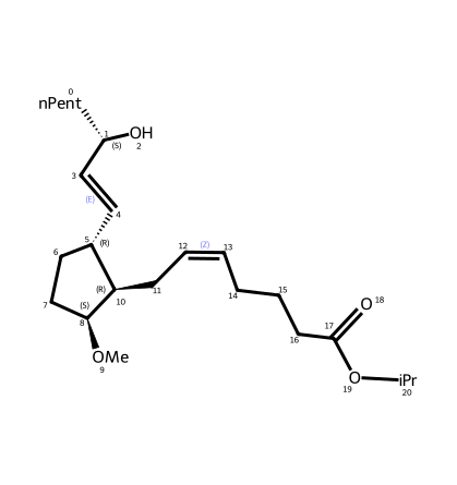 CCCCC[C@H](O)/C=C/[C@H]1CC[C@H](OC)[C@@H]1C/C=C\CCCC(=O)OC(C)C